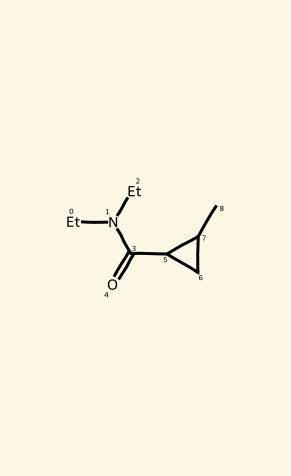 CCN(CC)C(=O)C1CC1C